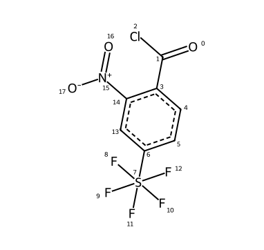 O=C(Cl)c1ccc(S(F)(F)(F)(F)F)cc1[N+](=O)[O-]